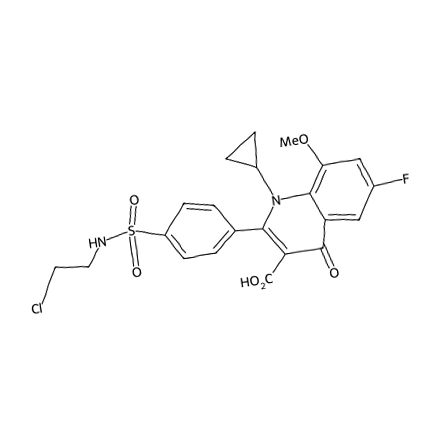 COc1cc(F)cc2c(=O)c(C(=O)O)c(-c3ccc(S(=O)(=O)NCCCl)cc3)n(C3CC3)c12